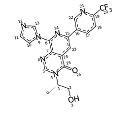 C[C@@H](CO)n1cnc2c(-n3ccnc3)nc(-c3ccc(C(F)(F)F)nc3)cc2c1=O